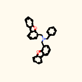 c1ccc(CN(Cc2cccc3c2oc2ccccc23)Cc2cccc3c2oc2ccccc23)cc1